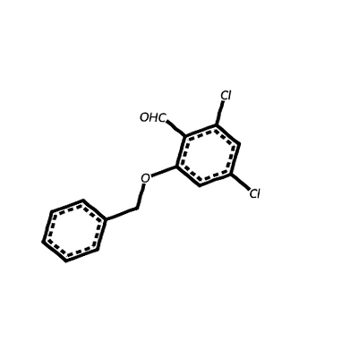 O=Cc1c(Cl)cc(Cl)cc1OCc1ccccc1